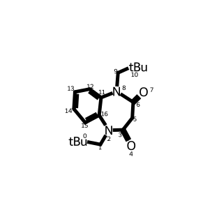 CC(C)(C)CN1C(=O)CC(=O)N(CC(C)(C)C)c2ccccc21